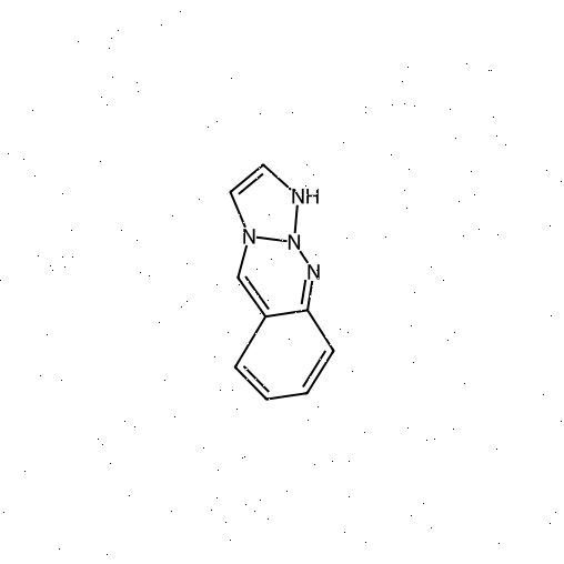 C1=CN2C=c3ccccc3=NN2N1